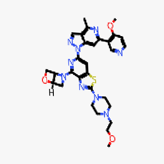 COCCN1CCN(c2nc3c(N4C[C@@H]5OCC54)nc(-n4ncc5c(C)nc(-c6cnccc6OC)cc54)cc3s2)CC1